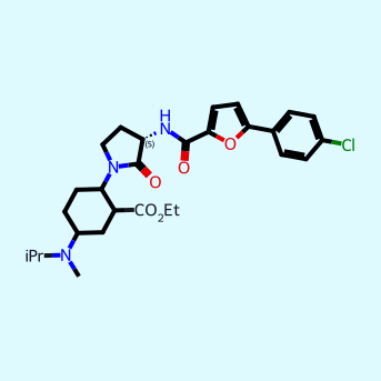 CCOC(=O)C1CC(N(C)C(C)C)CCC1N1CC[C@H](NC(=O)c2ccc(-c3ccc(Cl)cc3)o2)C1=O